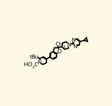 CC(C)(C)C1C=C(c2ccc3c(c2)CC(C)(C2CCN(c4ncc(C5CC5)cn4)CC2)O3)CCN1C(=O)O